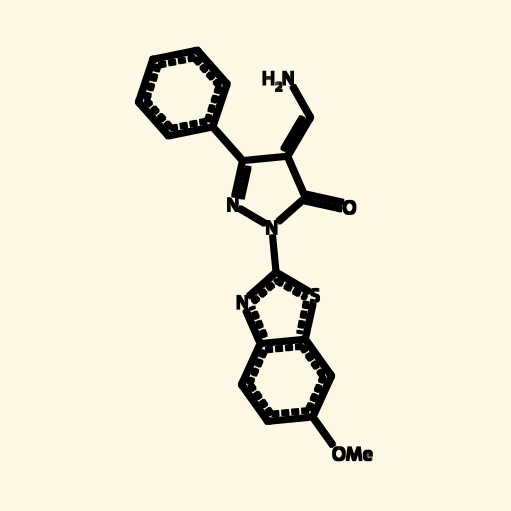 COc1ccc2nc(N3N=C(c4ccccc4)/C(=C\N)C3=O)sc2c1